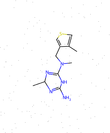 Cc1cscc1CN(C)C1=NC(C)N=C(N)N1